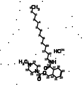 CCCCCCCCCCCCCCNC(=O)C1CC=CCC1COC(=O)N1CCN(C)CC1.Cl